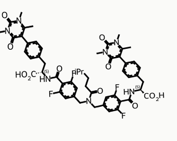 Cc1c(-c2ccc(C[C@H](NC(=O)c3c(F)cc(CN(Cc4cc(F)c(C(=O)N[C@@H](Cc5ccc(-c6c(C)n(C)c(=O)n(C)c6=O)cc5)C(=O)O)c(F)c4)C(=O)CCC(C)C)cc3F)C(=O)O)cc2)c(=O)n(C)c(=O)n1C